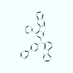 c1ccc(-c2ccc(N(c3cc(-c4ccccc4)c4c(c3)oc3cc5ccccc5cc34)c3cccc4c3oc3ccccc34)cc2)cc1